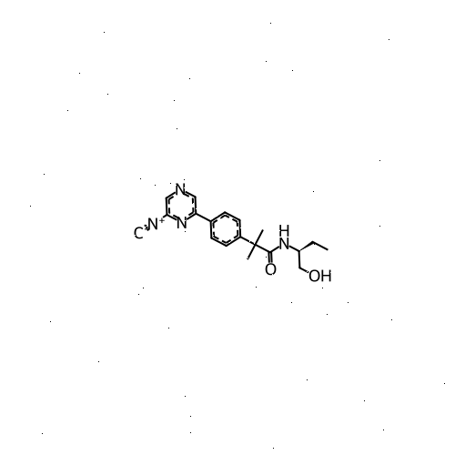 [C-]#[N+]c1cncc(-c2ccc(C(C)(C)C(=O)N[C@@H](CC)CO)cc2)n1